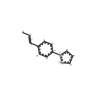 [CH2]/C=C/c1ccc(-n2cccn2)cc1